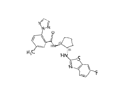 Cc1ccc(-n2nccn2)c(C(=O)N[C@H]2CCC[C@@H]2Nc2nc3ccc(F)cc3s2)c1